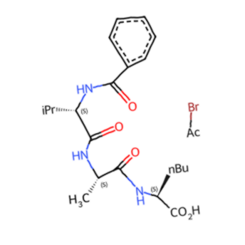 CC(=O)Br.CCCC[C@H](NC(=O)[C@H](C)NC(=O)[C@@H](NC(=O)c1ccccc1)C(C)C)C(=O)O